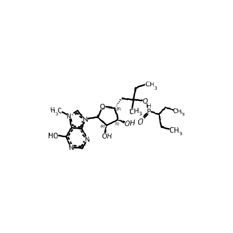 CCC(CC)[PH](=O)OC(C)(CC)C[C@H]1OC(n2c[n+](C)c3c(O)ncnc32)[C@H](O)[C@@H]1O